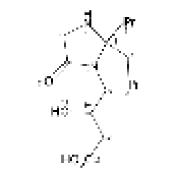 CC(C)CC1(C(C)C)NCC(=O)N1CC(O)CC(=O)O